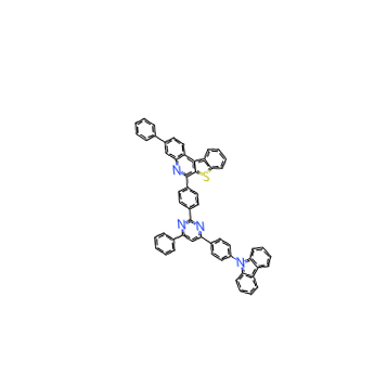 c1ccc(-c2ccc3c(c2)nc(-c2ccc(-c4nc(-c5ccccc5)cc(-c5ccc(-n6c7ccccc7c7ccccc76)cc5)n4)cc2)c2sc4ccccc4c23)cc1